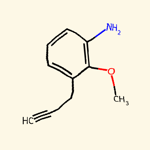 C#CCc1cccc(N)c1OC